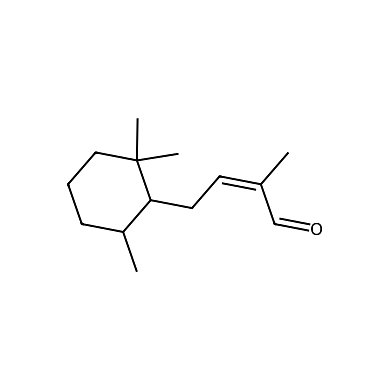 CC(C=O)=CCC1C(C)CCCC1(C)C